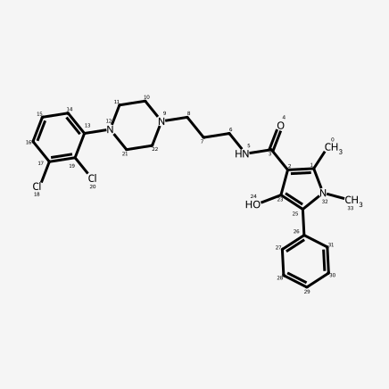 Cc1c(C(=O)NCCCN2CCN(c3cccc(Cl)c3Cl)CC2)c(O)c(-c2ccccc2)n1C